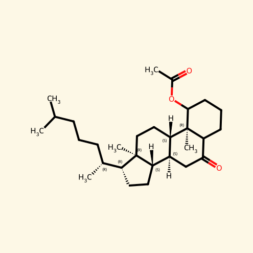 CC(=O)OC1CCCC2C(=O)C[C@@H]3[C@H](CC[C@]4(C)[C@@H]([C@H](C)CCCC(C)C)CC[C@@H]34)[C@@]12C